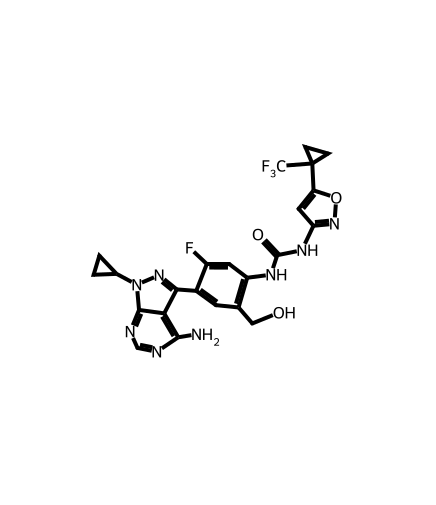 Nc1ncnc2c1c(-c1cc(CO)c(NC(=O)Nc3cc(C4(C(F)(F)F)CC4)on3)cc1F)nn2C1CC1